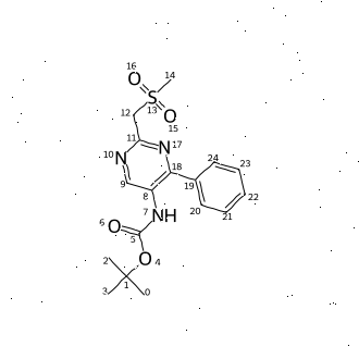 CC(C)(C)OC(=O)Nc1cnc(CS(C)(=O)=O)nc1-c1ccccc1